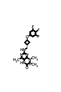 Cc1nc(NC[C@H]2C[C@H](Oc3cc(F)c(F)c(F)c3)C2)nc2c1NC(=O)[C@H](C)N2C